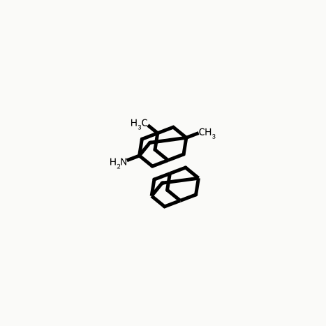 C1C2CC3CC1CC(C2)C3.CC12CC3CC(C)(C1)CC(N)(C3)C2